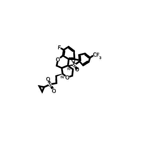 O=S(=O)(CC[C@@H]1OCC[C@@]2(S(=O)(=O)c3ccc(C(F)(F)F)cc3)c3c(F)ccc(F)c3OCC12)C1CC1